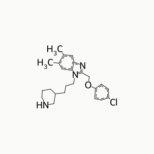 Cc1cc2nc(COc3ccc(Cl)cc3)n(CCCC3CCCNC3)c2cc1C